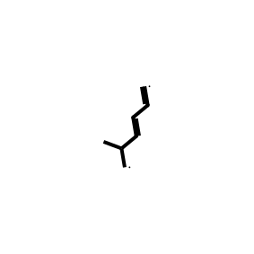 [CH]=CC=CC([CH2])C